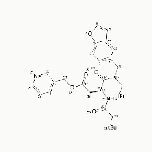 CC(C)CN(Cc1ccc2occc2c1)C(=O)[C@H](CC(=O)OCc1cccnc1)NC(=O)CC(C)(C)C